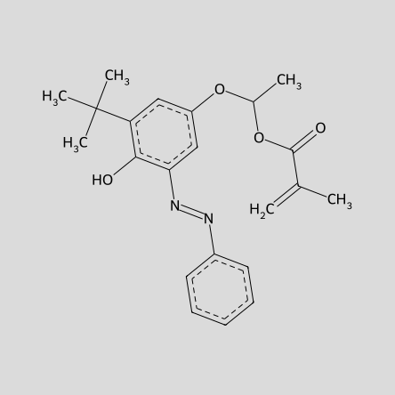 C=C(C)C(=O)OC(C)Oc1cc(/N=N/c2ccccc2)c(O)c(C(C)(C)C)c1